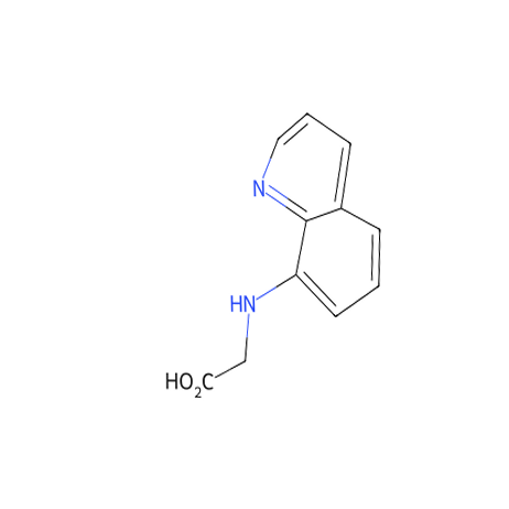 O=C(O)CNc1cccc2cccnc12